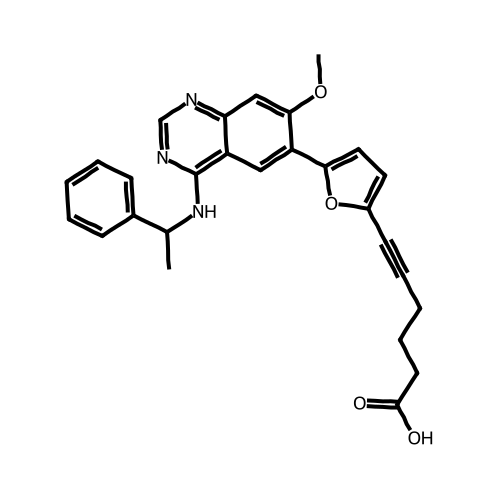 COc1cc2ncnc(NC(C)c3ccccc3)c2cc1-c1ccc(C#CCCCC(=O)O)o1